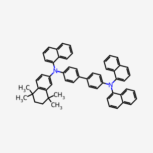 CC1(C)CCC(C)(C)c2cc(N(c3ccc(-c4ccc(N(c5cccc6ccccc56)c5cccc6ccccc56)cc4)cc3)c3cccc4ccccc34)ccc21